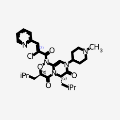 CC(C)C[C@H]1ON(C(=O)/C(Cl)=C/c2ccccn2)C2=CN(C3CCN(C)CC3)C(=O)[C@H](CC(C)C)N2C1=O